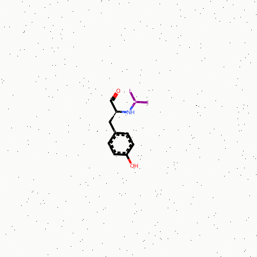 O=C[C@H](Cc1ccc(O)cc1)NI(I)I